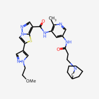 COCCn1cc(-c2cn3ncc(C(=O)Nc4cc(NC(=O)CCN5CC6CCC5CC6)cnc4C)c3s2)cn1